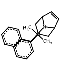 CC(C)(c1ccccc1)N1C2C=CC1CN(Cc1ccccc1)C2